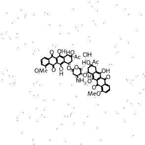 COc1cccc2c1C(=O)c1c(O)c3c(c(O)c1C2=O)C[C@](O)(C(C)=O)C[C@@H]3O[C@@H]1C[C@H](N)[C@@H](O[C@H]2C[C@@](O)(C(C)=O)Cc3c(O)c4c(c(O)c32)C(=O)c2c(OC)cccc2C4=O)[C@@H](C)O1.Cl